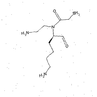 BCC(=O)N(CCN)[C@@H](C=O)CCCCN